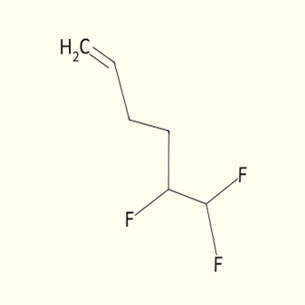 C=CCCC(F)C(F)F